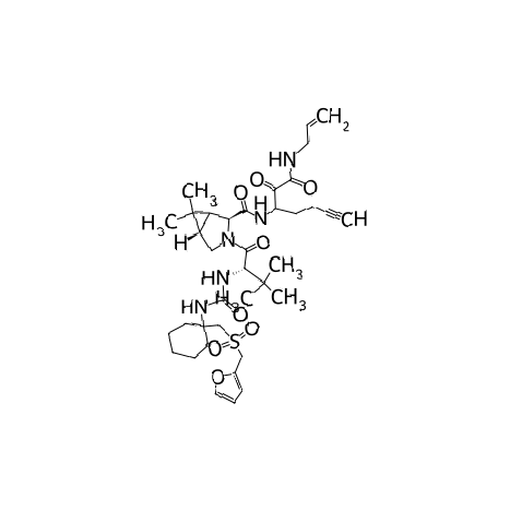 C#CCCC(NC(=O)[C@@H]1C2[C@H](CN1C(=O)[C@@H](NC(=O)NC1(CS(=O)(=O)Cc3ccco3)CCCCC1)C(C)(C)C)C2(C)C)C(=O)C(=O)NCC=C